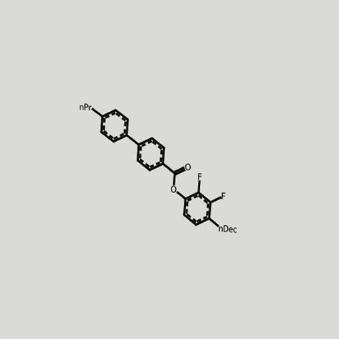 CCCCCCCCCCc1ccc(OC(=O)c2ccc(-c3ccc(CCC)cc3)cc2)c(F)c1F